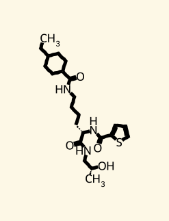 CCC1CCC(C(=O)NCCCC[C@H](NC(=O)c2cccs2)C(=O)NC[C@@H](C)O)CC1